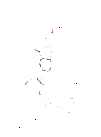 C=N/C(=C(Cl)\C=N/CNC1CCOCC1)c1cnc2c(c1)C(=O)N(CC=O)C2